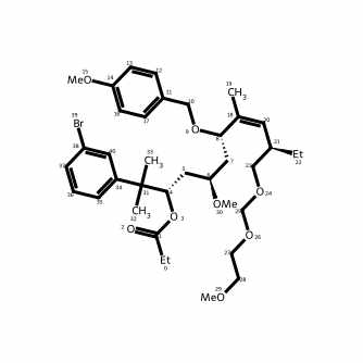 CCC(=O)O[C@@H](C[C@@H](C[C@H](OCc1ccc(OC)cc1)/C(C)=C\[C@@H](CC)COCOCCOC)OC)C(C)(C)c1cccc(Br)c1